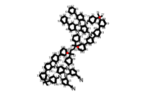 CC(C)(C)c1ccc(N2c3ccc(C#N)cc3B3c4cc(C#N)ccc4N(c4ccc(C(C)(C)CCC(C)(C)c5ccc(N6c7ccc(-c8ccccc8)cc7B7c8cc(-c9ccccc9)ccc8N(c8ccc(C(C)(C)C)cc8)c8cc(-n9c%10cc(-c%11ccccc%11)ccc%10c%10ccc(-c%11ccccc%11)cc%109)cc6c87)cc5)cc4)c4cc(-n5c6cc(-c7ccccc7)ccc6c6ccc(-c7ccccc7)cc65)cc2c43)cc1